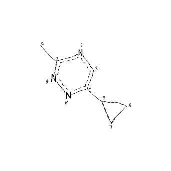 Cc1ncc(C2CC2)nn1